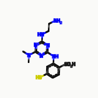 CN(C)c1nc(NCCN)nc(Nc2cc(S)ccc2S(=O)(=O)O)n1